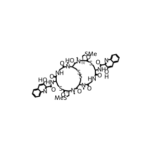 CSC[C@H]1C(=O)SCC(NC(=O)c2nc3ccccc3cc2O)C(=O)NCC(=O)N(C)C2CSSCC(C(=O)N1C)N(C)C(=O)CNC(=O)C(NC(=O)c1nc3ccccc3cc1O)CSC(=O)[C@H](CSC)N(C)C2O